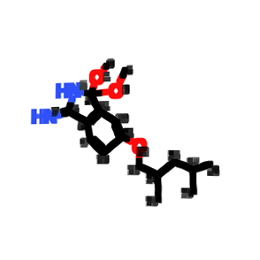 COC1(OC)NC(=N)c2ccc(OCC(C)CC(C)C)cc21